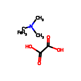 CN(C)C.O=C(O)C(=O)O.[Fe]